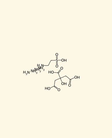 N.N.N.N.NCCS(=O)(=O)O.O=C(O)CC(O)(CC(=O)O)C(=O)O